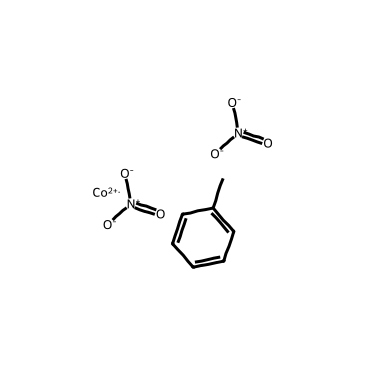 Cc1ccccc1.O=[N+]([O-])[O-].O=[N+]([O-])[O-].[Co+2]